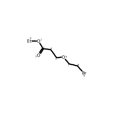 CCOC(=O)CCOCCBr